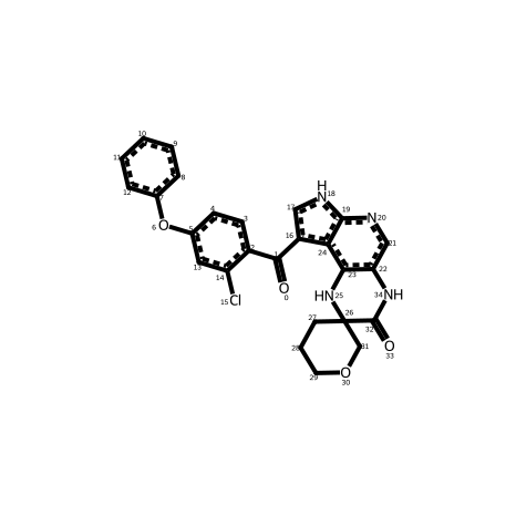 O=C(c1ccc(Oc2ccccc2)cc1Cl)c1c[nH]c2ncc3c(c12)NC1(CCCOC1)C(=O)N3